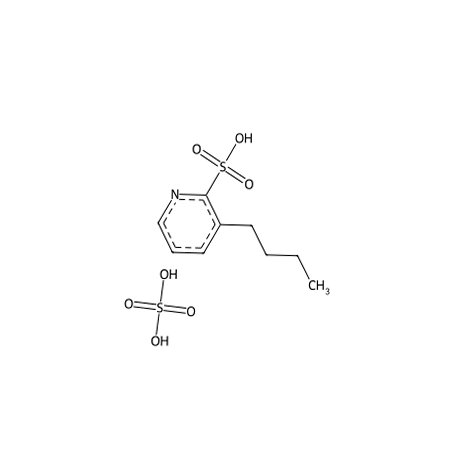 CCCCc1cccnc1S(=O)(=O)O.O=S(=O)(O)O